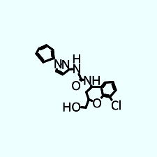 O=C(Nc1ccn(-c2ccccc2)n1)NC1CC(CO)Oc2c(Cl)cccc21